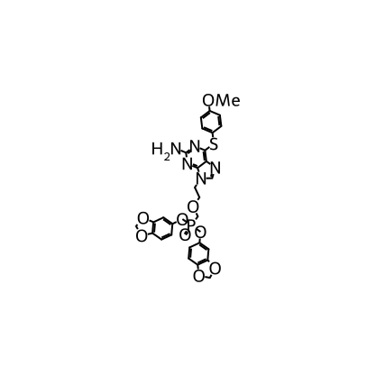 COc1ccc(Sc2nc(N)nc3c2ncn3CCOCP(=O)(Oc2ccc3c(c2)OCO3)Oc2ccc3c(c2)OCO3)cc1